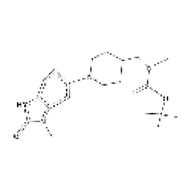 CN(CC1CCN(c2ccc3[nH]c(=O)n(C)c3c2)CC1)C(=O)OC(C)(C)C